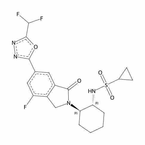 O=C1c2cc(-c3nnc(C(F)F)o3)cc(F)c2CN1[C@@H]1CCCC[C@H]1NS(=O)(=O)C1CC1